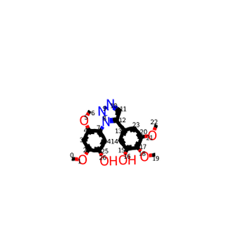 COc1cc(OC)c(-n2nncc2-c2cc(O)c(OC)c(OC)c2)cc1O